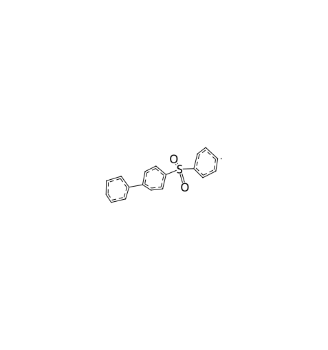 O=S(=O)(c1cc[c]cc1)c1ccc(-c2ccccc2)cc1